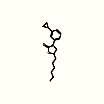 CCCCCCC1CN(c2cccc(C3CC3)c2)C(=O)O1